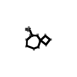 CN1CCCCC2(CCC2)C1